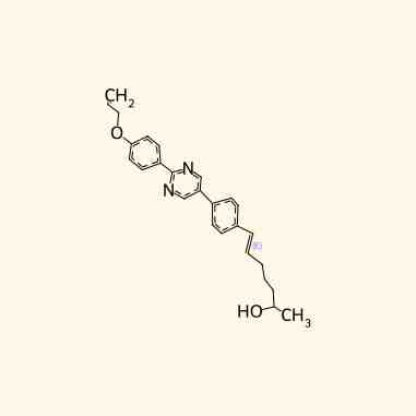 C=CCOc1ccc(-c2ncc(-c3ccc(/C=C/CCCC(C)O)cc3)cn2)cc1